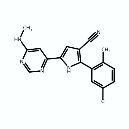 CNc1cc(-c2cc(C#N)c(-c3cc(Cl)ccc3C)[nH]2)ncn1